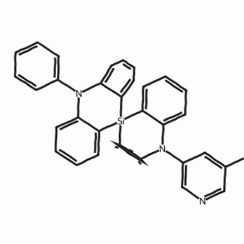 N#Cc1cncc(N2c3ccccc3[Si]3(c4ccccc4N(c4ccccc4)c4ccccc43)c3ccccc32)c1